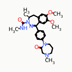 CNC(=O)N1N=C(c2ccc(N3CCCN(C)CC3=O)cc2)c2cc(OC)c(OC)cc2C[C@@H]1C